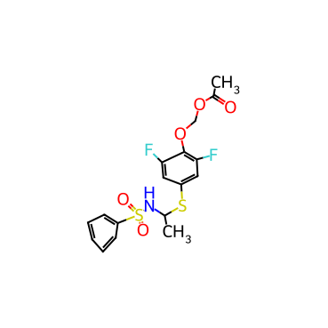 CC(=O)OCOc1c(F)cc(SC(C)NS(=O)(=O)c2ccccc2)cc1F